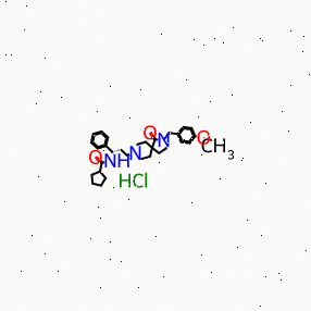 COc1ccc(CN2CCC3(CCN(CC[C@H](NC(=O)C4CCCC4)c4ccccc4)CC3)C2=O)cc1.Cl